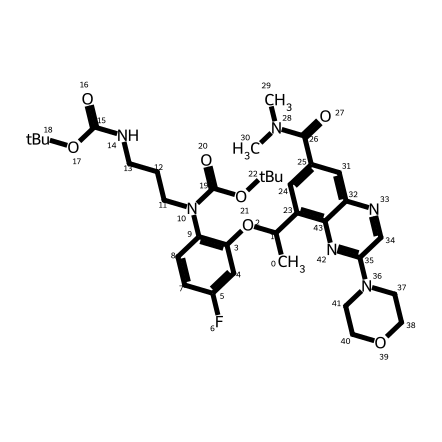 CC(Oc1cc(F)ccc1N(CCCNC(=O)OC(C)(C)C)C(=O)OC(C)(C)C)c1cc(C(=O)N(C)C)cc2ncc(N3CCOCC3)nc12